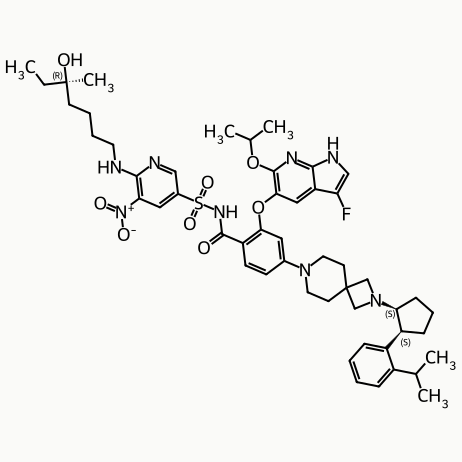 CC[C@@](C)(O)CCCCNc1ncc(S(=O)(=O)NC(=O)c2ccc(N3CCC4(CC3)CN([C@H]3CCC[C@H]3c3ccccc3C(C)C)C4)cc2Oc2cc3c(F)c[nH]c3nc2OC(C)C)cc1[N+](=O)[O-]